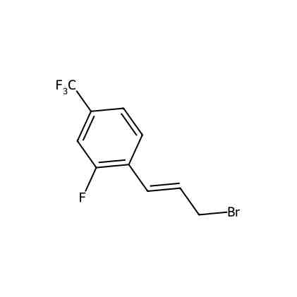 Fc1cc(C(F)(F)F)ccc1C=CCBr